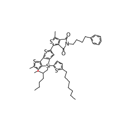 CCCCCCCc1ccc([Si]2(CC(CC)CCCC)c3cc(C)sc3-c3sc(-c4sc(C)c5c4C(=O)N(CCCCc4ccccc4)C5=O)cc32)s1